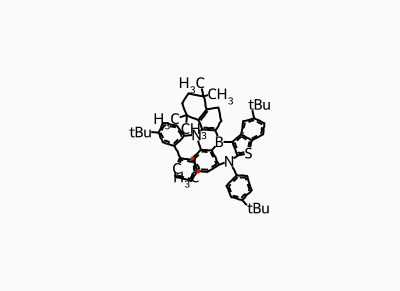 Cc1cc2c3c(c1)N(c1ccc(C(C)(C)C)cc1)c1sc4ccc(C(C)(C)C)cc4c1B3C1=C(C3=C(CC1)C(C)(C)CCC3(C)C)N2c1ccc(C(C)(C)C)cc1-c1ccccc1